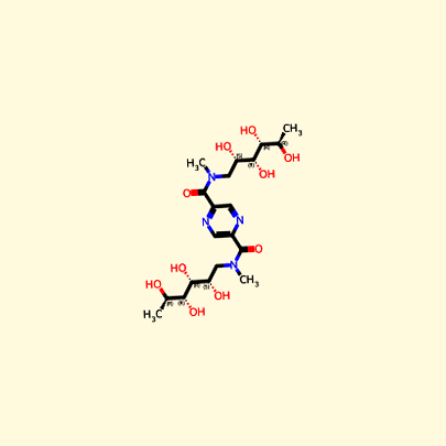 C[C@@H](O)[C@@H](O)[C@H](O)[C@@H](O)CN(C)C(=O)c1cnc(C(=O)N(C)C[C@H](O)[C@@H](O)[C@H](O)[C@@H](C)O)cn1